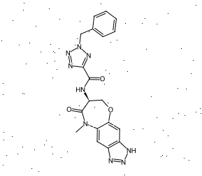 CN1C(=O)[C@@H](NC(=O)c2nnn(Cc3ccccc3)n2)COc2cc3[nH]nnc3cc21